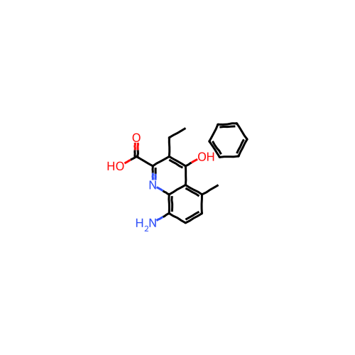 CCc1c(C(=O)O)nc2c(N)ccc(C)c2c1O.c1ccccc1